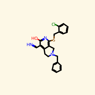 N=Cc1c(O)nc(SCc2ccccc2Cl)c2c1CCN(Cc1ccccc1)C2